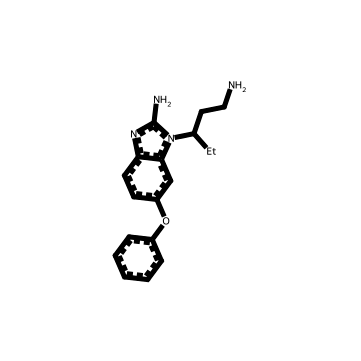 CCC(CCN)n1c(N)nc2ccc(Oc3ccccc3)cc21